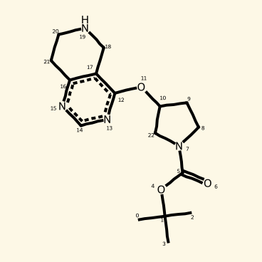 CC(C)(C)OC(=O)N1CCC(Oc2ncnc3c2CNCC3)C1